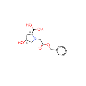 O=C(CN1C[C@@H](O)C[C@H]1C(O)O)OCc1ccccc1